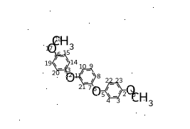 COc1ccc(Oc2cccc(Oc3ccc(OC)cc3)c2)cc1